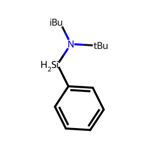 CCC(C)N([SiH2]c1ccccc1)C(C)(C)C